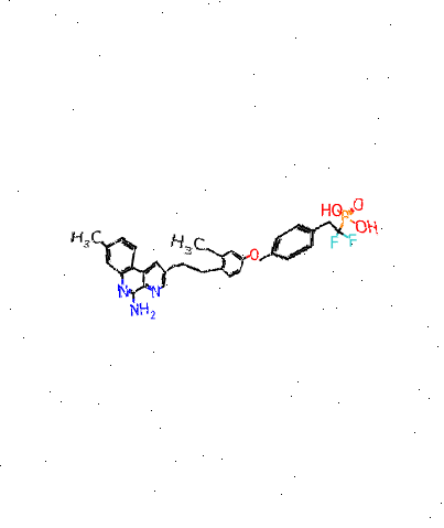 Cc1ccc2c(c1)nc(N)c1ncc(CCc3ccc(OCc4ccc(CC(F)(F)P(=O)(O)O)cc4)cc3C)cc12